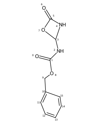 O=C(NC1NC(=O)O1)OCc1ccccc1